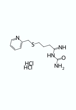 Cl.Cl.N=C(CCCSCc1ccccn1)NC(N)=O